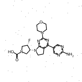 Nc1ncc(-c2nc(N3CCOCC3)nc3c2CCN3[C@@H]2CN(C(=O)O)C[C@@H]2F)cn1